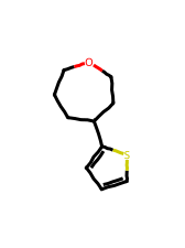 c1csc([C]2CCCOCC2)c1